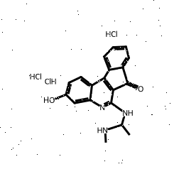 CNC(C)Nc1nc2cc(O)ccc2c2c1C(=O)c1ccccc1-2.Cl.Cl.Cl